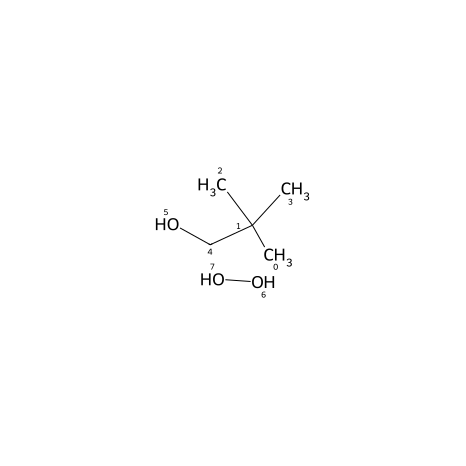 CC(C)(C)CO.OO